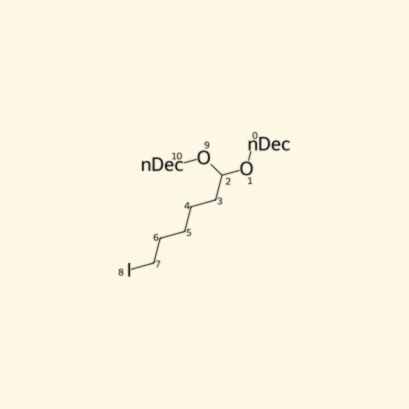 CCCCCCCCCCOC(CCCCCI)OCCCCCCCCCC